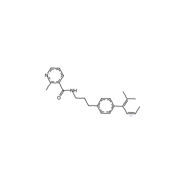 C/C=C\C(=C(C)C)c1ccc(CCCNC(=O)c2cccnc2C)cc1